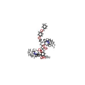 CN1C(C)(C)CC(OC(=O)C(CCCCCCOc2ccc(OCc3ccccc3)cc2)(Cc2cc(C(C)(C)C)c(O)c(C(C)(C)C)c2)C(=O)OC2CC(C)(C)N(C)C(C)(C)C2)CC1(C)C